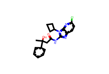 CC(O)(CC(=O)Nc1nc2ccc(Cl)nc2n1C1CCC1)c1ccccc1